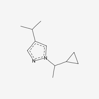 CC(C)c1cnn(C(C)C2CC2)c1